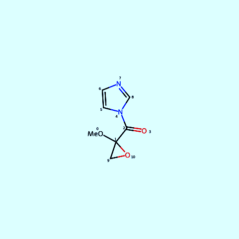 COC1(C(=O)n2ccnc2)CO1